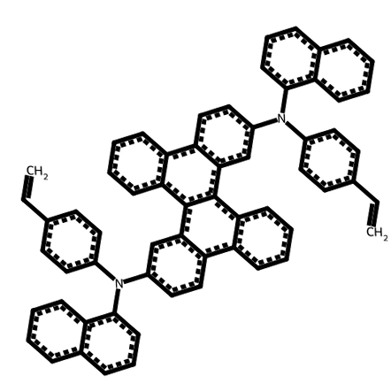 C=Cc1ccc(N(c2ccc3c4ccccc4c4c5cc(N(c6ccc(C=C)cc6)c6cccc7ccccc67)ccc5c5ccccc5c4c3c2)c2cccc3ccccc23)cc1